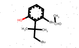 CC(C)(C)CC(C)(C)c1c(O)cccc1C(C)(C)C.CC=O